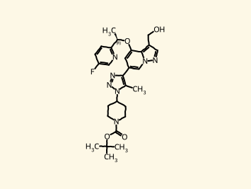 Cc1c(-c2cc(O[C@H](C)c3ccc(F)cn3)c3c(CO)cnn3c2)nnn1C1CCN(C(=O)OC(C)(C)C)CC1